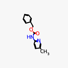 Cc1ccc(NC(=O)OCc2ccccc2)nc1